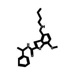 CCCCNCc1ccc(OC)c2oc(C(=O)NC(C)c3ccccc3)cc12